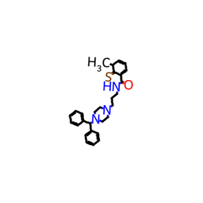 CC1C=CC=C(C(=O)NCCCN2CCN(C(c3ccccc3)c3ccccc3)CC2)C1=S